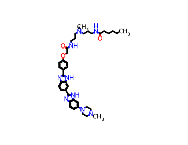 CCCCCC(=O)NCCCN(C)CCCNC(=O)COc1ccc(-c2nc3ccc(-c4nc5ccc(N6CCN(C)CC6)cc5[nH]4)cc3[nH]2)cc1